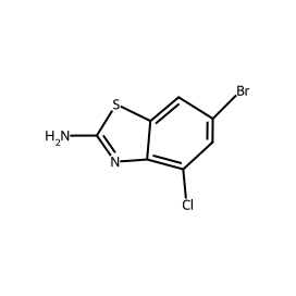 Nc1nc2c(Cl)cc(Br)cc2s1